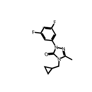 Cc1nn(-c2cc(F)[c]c(F)c2)c(=O)n1CC1CC1